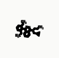 CCCN(CC1CC1)c1nnc(-c2c(CC)cccc2CC)c2ccccc12